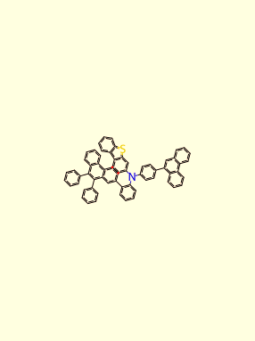 c1ccc(-c2c(-c3ccccc3)c3cc(-c4ccccc4N(c4ccc(-c5cc6ccccc6c6ccccc56)cc4)c4ccc5c(c4)sc4ccccc45)ccc3c3ccccc23)cc1